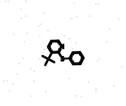 CC(C)(C)c1cccnc1Sc1ccccc1